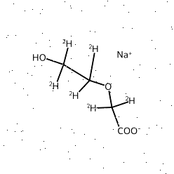 [2H]C([2H])(OC([2H])([2H])C([2H])([2H])O)C(=O)[O-].[Na+]